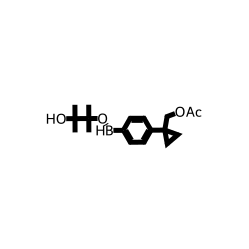 CC(=O)OCC1(c2ccc(BOC(C)(C)C(C)(C)O)cc2)CC1